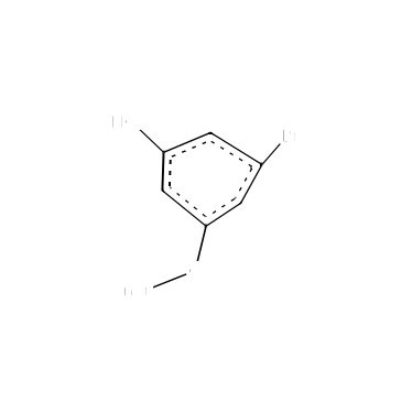 CCCOc1cc(O)cc(Br)c1